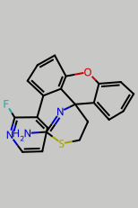 NC1=NC2(CCS1)c1ccccc1Oc1cccc(-c3cccnc3F)c12